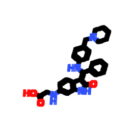 O=C(O)CNc1ccc2c(c1)NC(=O)C2=C(Nc1ccc(CN2CCCCC2)cc1)c1ccccc1